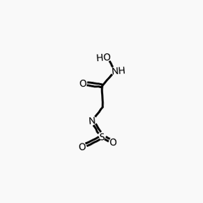 O=C(CN=S(=O)=O)NO